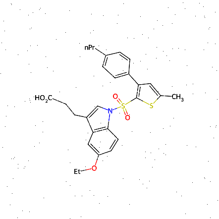 CCCc1ccc(-c2cc(C)sc2S(=O)(=O)n2cc(CCC(=O)O)c3cc(OCC)ccc32)cc1